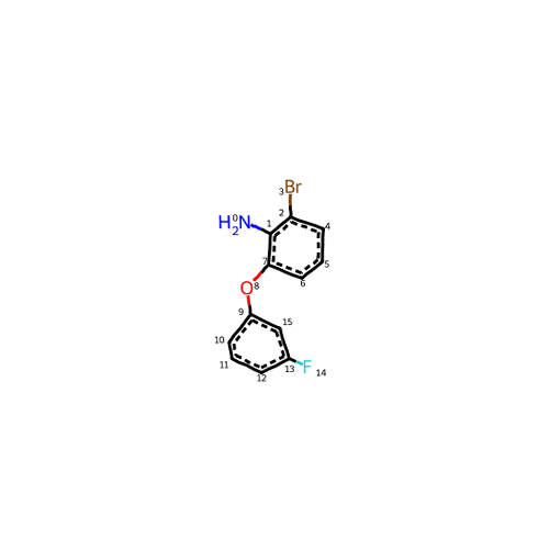 Nc1c(Br)cccc1Oc1cccc(F)c1